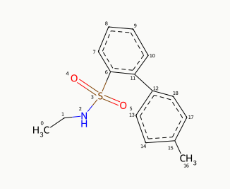 CCNS(=O)(=O)c1ccccc1-c1ccc(C)cc1